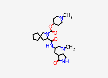 C=NCC(CC1CCNC1=O)NC(=O)C1CC2(CCCC2)CN1C(=O)OC1CCN(C)CC1